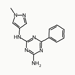 Cn1cc(Nc2nc(N)nc(-c3ccccc3)n2)cn1